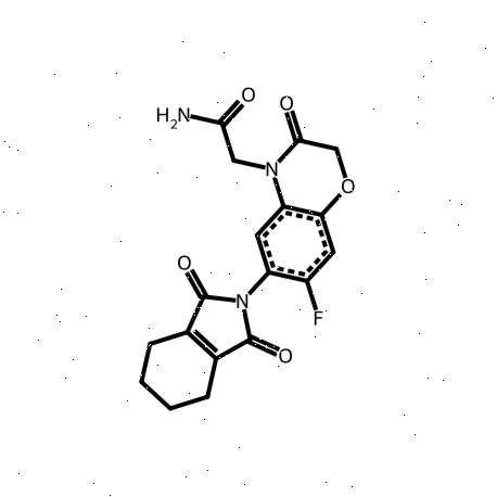 NC(=O)CN1C(=O)COc2cc(F)c(N3C(=O)C4=C(CCCC4)C3=O)cc21